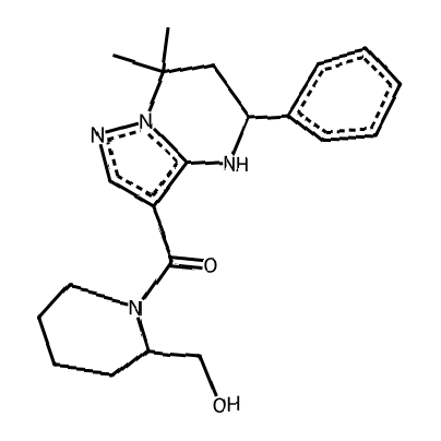 CC1(C)CC(c2ccccc2)Nc2c(C(=O)N3CCCCC3CO)cnn21